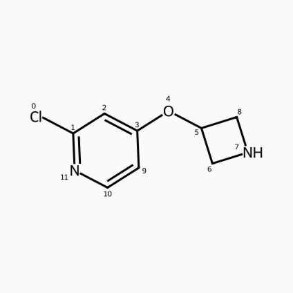 Clc1cc(OC2CNC2)ccn1